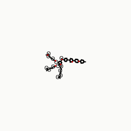 CC(=O)OCCOCCOc1cc(C(=O)c2ccc(-c3ccc(-c4ccc(-c5ccc(C)cc5)cc4)cc3)cc2)cc(OCCOCCOC(C)=O)c1OCCOCCOC(C)=O